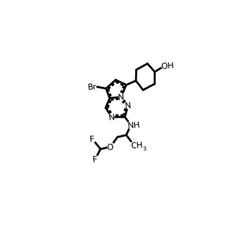 CC(COC(F)F)Nc1ncc2c(Br)cc(C3CCC(O)CC3)n2n1